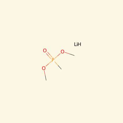 COP(C)(=O)OC.[LiH]